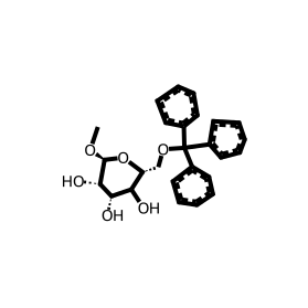 CO[C@H]1O[C@H](COC(c2ccccc2)(c2ccccc2)c2ccccc2)C(O)[C@H](O)[C@@H]1O